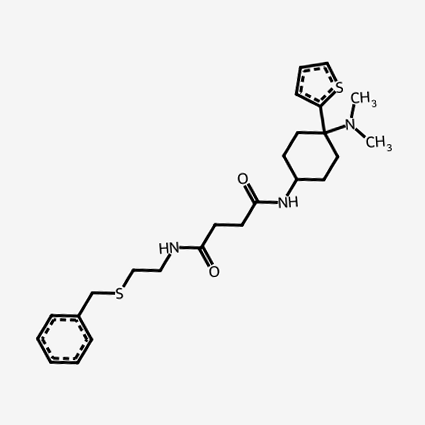 CN(C)C1(c2cccs2)CCC(NC(=O)CCC(=O)NCCSCc2ccccc2)CC1